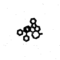 C=C1/C=C\C=C/N(c2cccc(-c3ccccc3)c2)c2c1ccc1c3ccccc3n(-c3cccc(-c4ccccc4)c3)c21